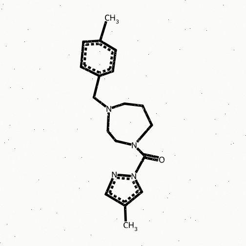 Cc1ccc(CN2CCCN(C(=O)n3cc(C)cn3)CC2)cc1